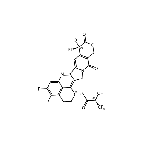 CC[C@@]1(O)C(=O)OCc2c1cc1n(c2=O)Cc2c-1nc1cc(F)c(C)c3c1c2[C@H](NC(=O)[C@@H](O)C(F)(F)F)CC3